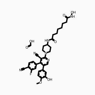 COc1ccc(-c2cnc(N3CCC(NC(=O)CCCCCCC(=O)NO)CC3)c(C#N)c2-c2ccc(C#N)c(F)c2)cc1O.O=CO